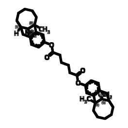 C[C@@]12CCCCCC(Cc3ccc(OC(=O)CCCCC(=O)Oc4ccc5c(c4)[C@@]4(C)CCCCC[C@@H](C5)[C@@H]4N)cc31)[C@@H]2N